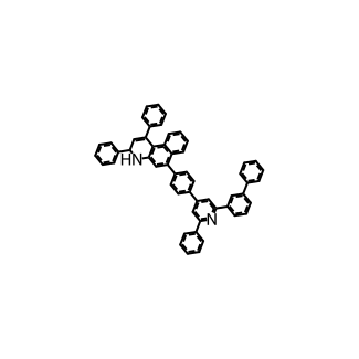 C1=C(c2ccccc2)c2c(cc(-c3ccc(-c4cc(-c5ccccc5)nc(-c5cccc(-c6ccccc6)c5)c4)cc3)c3ccccc23)NC1c1ccccc1